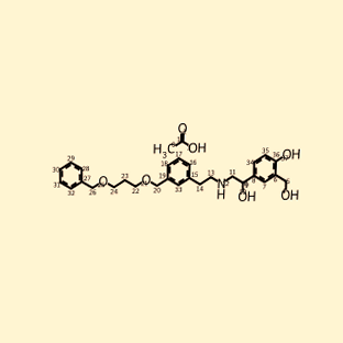 CC(=O)O.OCc1cc([C@@H](O)CNCCc2cccc(COCCCOCc3ccccc3)c2)ccc1O